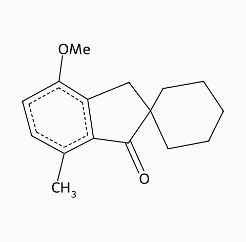 COc1ccc(C)c2c1CC1(CCCCC1)C2=O